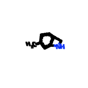 Cc1ccc2c(c1)NC2